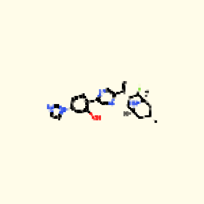 C=C(c1cnc(-c2ccc(-n3ccnc3)cc2O)cn1)[C@H]1C[C@@H]2C[C@@H](C)C[C@@H](N2)[C@@H]1F